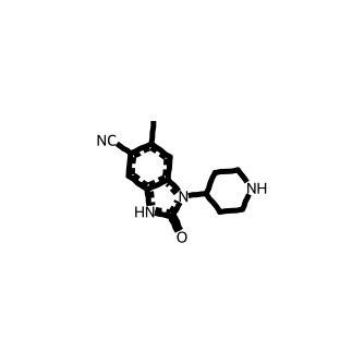 Cc1cc2c(cc1C#N)[nH]c(=O)n2C1CCNCC1